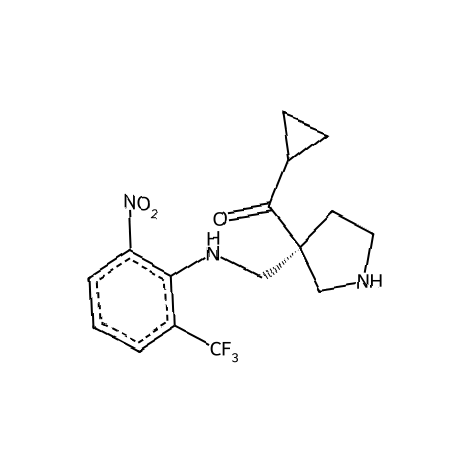 O=C(C1CC1)[C@@]1(CNc2c([N+](=O)[O-])cccc2C(F)(F)F)CCNC1